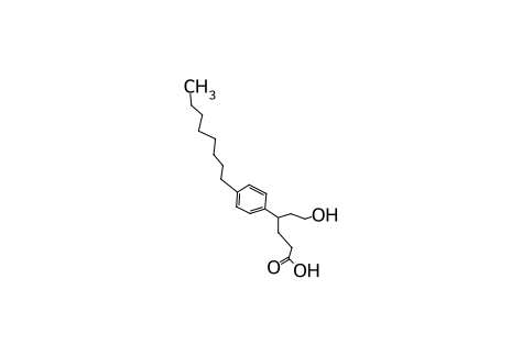 CCCCCCCCc1ccc(C(CCO)CCC(=O)O)cc1